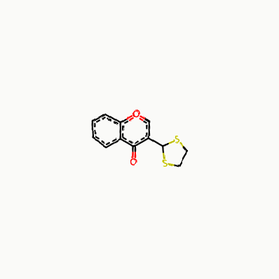 O=c1c(C2SCCS2)coc2ccccc12